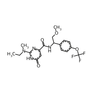 CCN(C)c1nc(C(=O)NC(COC)c2ccc(OC(F)(F)F)cc2)cc(=O)[nH]1